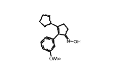 COc1cccc(C2=C(C3CCCC3)CCC2=NO)c1